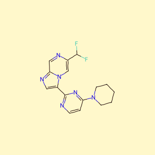 FC(F)c1cn2c(-c3nccc(N4CCCCC4)n3)cnc2cn1